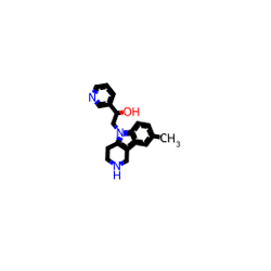 Cc1ccc2c(c1)c1c(n2CC(O)c2cccnc2)CCNC1